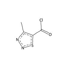 Cc1nnsc1C(=O)Cl